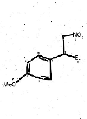 CCC(C[N+](=O)[O-])c1ccc(OC)cc1